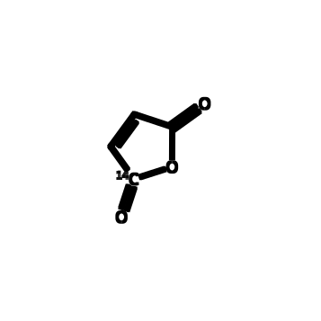 O=C1C=C[14C](=O)O1